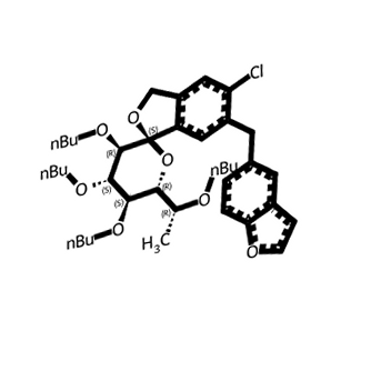 CCCCO[C@H]1[C@H](OCCCC)[C@@H](OCCCC)[C@@]2(OCc3cc(Cl)c(Cc4ccc5occc5c4)cc32)O[C@@H]1[C@@H](C)OCCCC